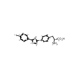 N[C@@H](Cc1ccc(-c2noc(-c3ccc(I)cc3)n2)cc1)C(=O)O